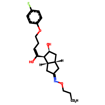 O=C(O)CCO/N=C1\C[C@@H]2C[C@@H](O)[C@H](/C(O)=C\CCOc3ccc(F)cc3)[C@@H]2C1